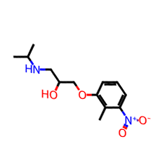 Cc1c(OCC(O)CNC(C)C)cccc1[N+](=O)[O-]